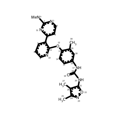 CNc1nccc(-c2cccnc2Oc2ccc(NC(=O)Nc3onc(C)c3C)cc2C)n1